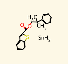 CC(C)(COC(=O)c1cc2ccccc2s1)c1ccccc1.[SnH2]